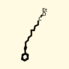 CCOCCCCCCCCCCCC#Cc1ccccc1